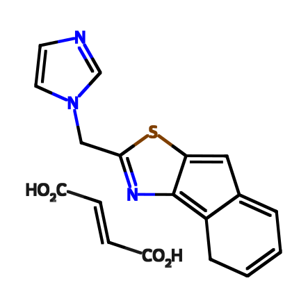 C1=CCC2=c3nc(Cn4ccnc4)sc3=CC2=C1.O=C(O)C=CC(=O)O